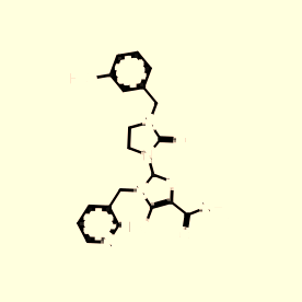 CC1=C(C(N)=O)SC(N2CCN(Cc3cccc(C(F)(F)F)c3)C2=O)N1Cc1cccnc1